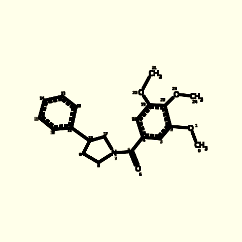 COc1cc(C(=O)N2CC[C](c3ccccc3)C2)cc(OC)c1OC